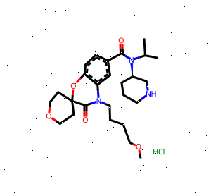 COCCCCN1C(=O)C2(CCOCC2)Oc2ccc(C(=O)N(C(C)C)[C@@H]3CCCNC3)cc21.Cl